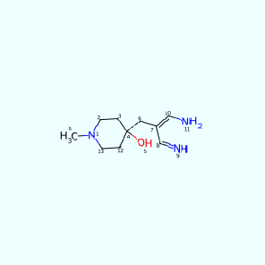 CN1CCC(O)(C/C(C=N)=C/N)CC1